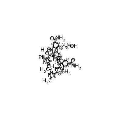 C=Cn1nc(C)cc1C(=O)/N=c1\n(C)c2cc(C(N)=O)ccc2n1CC(F)(F)C(F)(F)Cn1/c(=N/C(=O)c2cc(C)nn2CC)n(C)c2cc(C(N)=O)cc(OCCCO)c21